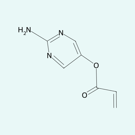 C=CC(=O)Oc1cnc(N)nc1